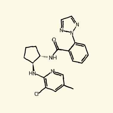 Cc1cnc(N[C@H]2CCC[C@@H]2NC(=O)c2ccccc2-n2nccn2)c(Cl)c1